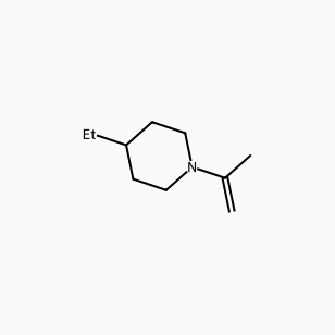 C=C(C)N1CCC(CC)CC1